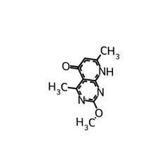 COc1nc(C)c2c(=O)cc(C)[nH]c2n1